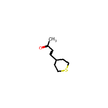 CC(=O)C=CC1CCSCC1